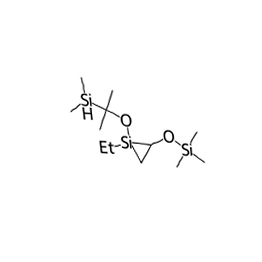 CC[Si]1(OC(C)(C)[SiH](C)C)CC1O[Si](C)(C)C